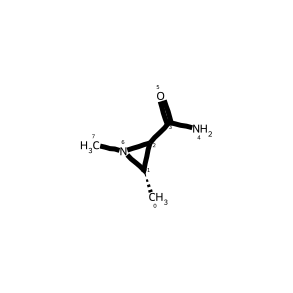 C[C@H]1C(C(N)=O)N1C